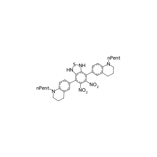 CCCCCN1CCCc2cc(-c3c4c(c(-c5ccc6c(c5)CCCN6CCCCC)c([N+](=O)[O-])c3[N+](=O)[O-])NSN4)ccc21